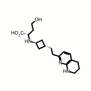 O=C(O)[C@H](CCO)N[C@H]1C[C@H](CCc2ccc3c(n2)NCCC3)C1